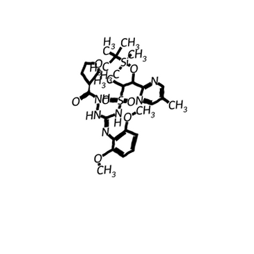 COc1cccc(OC)c1/N=C(/NNC(=O)[C@H]1CCOC1)NS(=O)(=O)C(C)C(O[Si](C)(C)C(C)(C)C)c1ncc(C)cn1